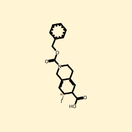 O=C(O)C1C=C2CCN(C(=O)OCc3ccccc3)CC2=C[C@H]1I